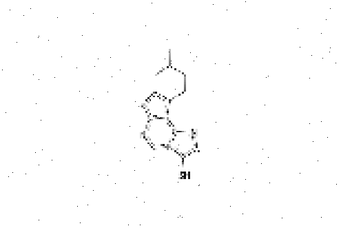 CC1CCc2c(sc3ncn4c(S)nnc4c23)C1